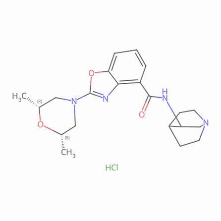 C[C@@H]1CN(c2nc3c(C(=O)NC4CN5CCC4CC5)cccc3o2)C[C@H](C)O1.Cl